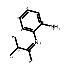 C/C(=N/c1ccccc1N)C(C)C